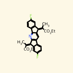 CCOC(=O)/C(C)=C1/c2cc(F)ccc2-c2nc3c(cc21)-c1ccc(F)cc1/C3=C(/C)C(=O)OCC